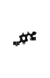 Cc1ccc(CC(=O)S)cc1